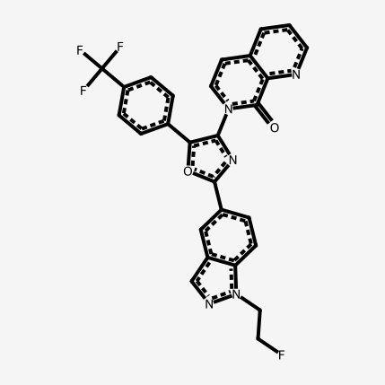 O=c1c2ncccc2ccn1-c1nc(-c2ccc3c(cnn3CCF)c2)oc1-c1ccc(C(F)(F)F)cc1